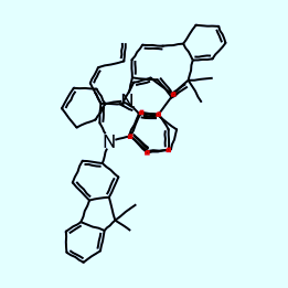 C=C/C=C\C(=C\N(c1ccccc1)c1ccc2c(c1)C(C)(C)c1ccccc1-2)C(=C)/C=C\C(=C)C1=C(N(C2=CC=CCC2)C2=C/C=C/C3CC=CC=C3C(C)(C)\C=C\2)C=CCC1